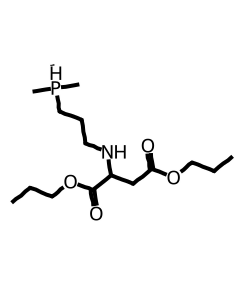 CCCOC(=O)CC(NCCC[PH](C)(C)C)C(=O)OCCC